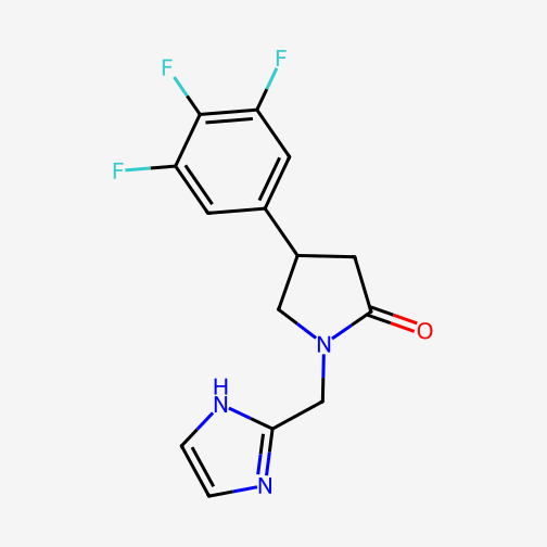 O=C1CC(c2cc(F)c(F)c(F)c2)CN1Cc1ncc[nH]1